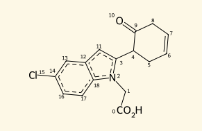 O=C(O)Cn1c(C2CC=CCC2=O)cc2cc(Cl)ccc21